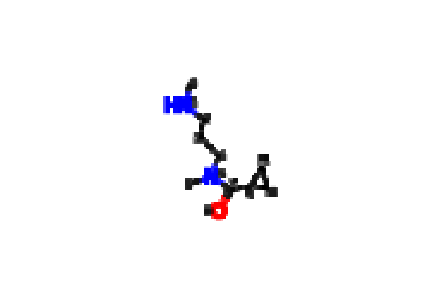 CNCCCN(C)C(=O)C1CC1